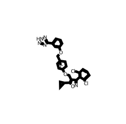 Clc1cccc(Cl)c1-c1noc(C2CC2)c1COC12CCC(COc3cccc(-c4nn[nH]n4)c3)(CC1)CC2